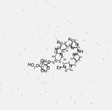 CCN1CCN(Cc2ccc(Nc3ncc(F)c(-c4cc(F)c5nc6n(c5c4)[C@H](C)CC(COC(=O)C(O)[C@@H](O)C(=O)O)C6)n3)nc2)CC1